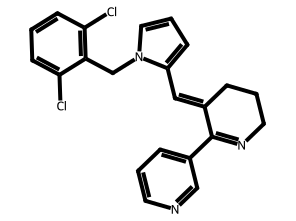 Clc1cccc(Cl)c1Cn1cccc1/C=C1\CCCN=C1c1cccnc1